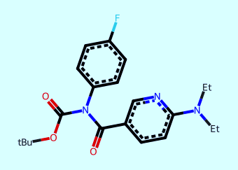 CCN(CC)c1ccc(C(=O)N(C(=O)OC(C)(C)C)c2ccc(F)cc2)cn1